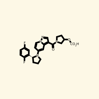 O=C(O)OC1CCN(C(=O)c2cnn3ccc(N4CCC[C@@H]4c4cc(F)ccc4F)cc23)C1